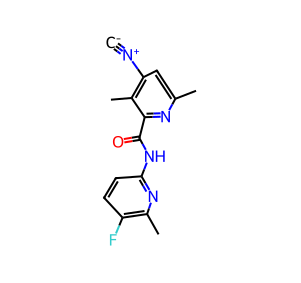 [C-]#[N+]c1cc(C)nc(C(=O)Nc2ccc(F)c(C)n2)c1C